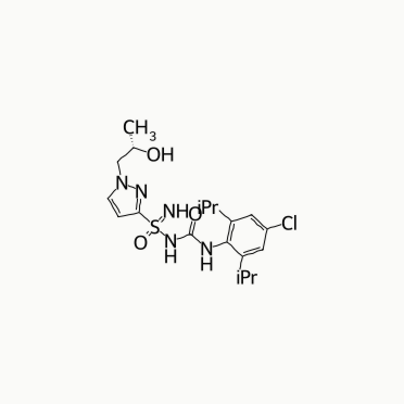 CC(C)c1cc(Cl)cc(C(C)C)c1NC(=O)NS(=N)(=O)c1ccn(C[C@H](C)O)n1